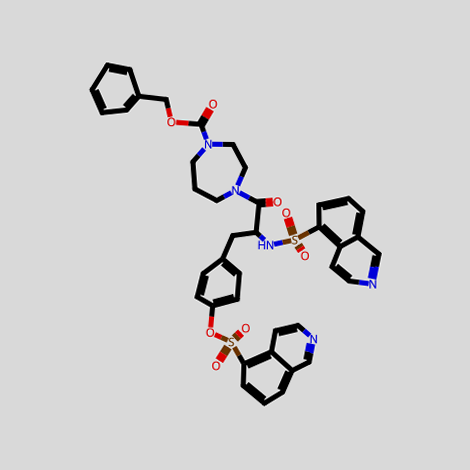 O=C(OCc1ccccc1)N1CCCN(C(=O)C(Cc2ccc(OS(=O)(=O)c3cccc4cnccc34)cc2)NS(=O)(=O)c2cccc3cnccc23)CC1